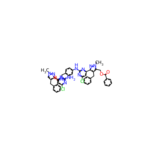 Cn1cc(Cc2ccccc2C(=O)NCc2ccc(Nc3nc(Cl)cc(-c4nn(C)c(COC(=O)c5ccccc5)c4Cc4ccccc4)n3)cc2)c(-c2cc(Cl)nc(N)n2)n1